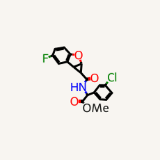 COC(=O)C(NC(=O)C1C2Oc3ccc(F)cc3C21)c1cccc(Cl)c1